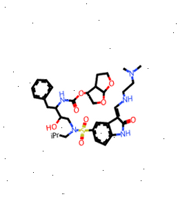 CC(C)CN(CC(O)C(Cc1ccccc1)NC(=O)OC1COC2OCCC12)S(=O)(=O)c1ccc2c(c1)/C(=C/NCCN(C)C)C(=O)N2